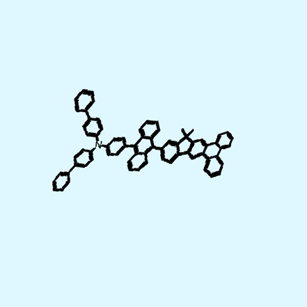 CC1(C)c2cc(-c3c4ccccc4c(-c4ccc(N(c5ccc(-c6ccccc6)cc5)c5ccc(-c6ccccc6)cc5)cc4)c4ccccc34)ccc2-c2cc3c4ccccc4c4ccccc4c3cc21